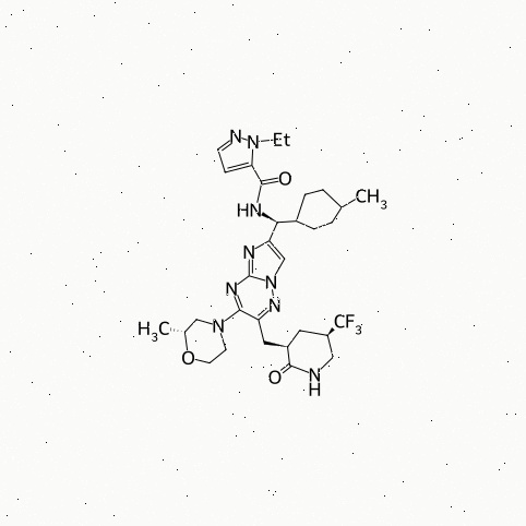 CCn1nccc1C(=O)N[C@H](c1cn2nc(C[C@H]3C[C@@H](C(F)(F)F)CNC3=O)c(N3CCO[C@H](C)C3)nc2n1)C1CCC(C)CC1